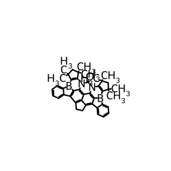 CC1(C)CC(C)(C)C2=C1B1c3ccccc3-c3c1c1c4c5c6c(c7c4c3CC7)-c3ccccc3B6C3=C(N5C(=O)N21)C(C)(C)CC3(C)C